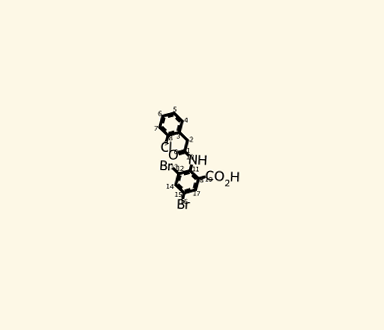 O=C(Cc1ccccc1Cl)Nc1c(Br)cc(Br)cc1C(=O)O